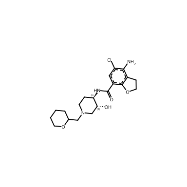 Nc1c(Cl)cc(C(=O)N[C@@H]2CCN(CC3CCCCO3)C[C@H]2O)c2c1CCO2